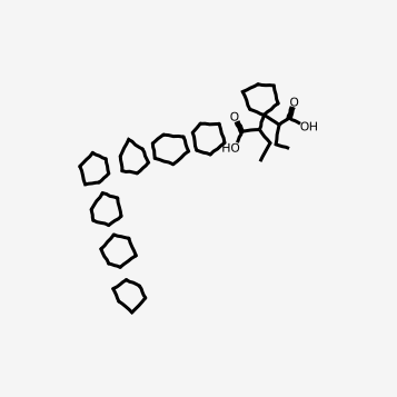 C1CCCCC1.C1CCCCC1.C1CCCCC1.C1CCCCC1.C1CCCCC1.C1CCCCC1.C1CCCCC1.CCC(C(=O)O)C1(C(CC)C(=O)O)CCCCC1